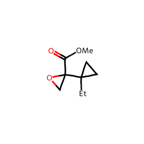 CCC1(C2(C(=O)OC)CO2)CC1